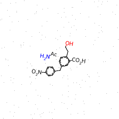 CC(N)=O.O=C(O)c1cc(Cc2ccc([N+](=O)[O-])cc2)ccc1CCO